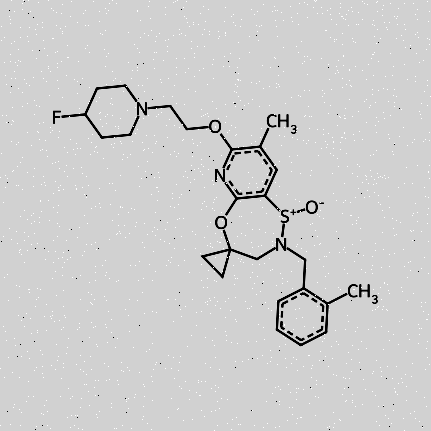 Cc1ccccc1CN1CC2(CC2)Oc2nc(OCCN3CCC(F)CC3)c(C)cc2[S+]1[O-]